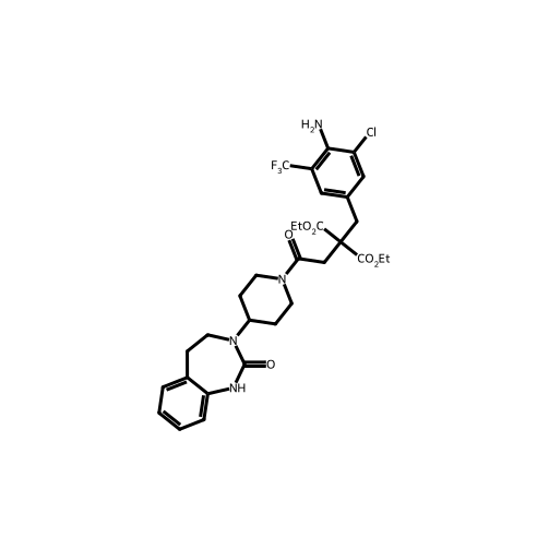 CCOC(=O)C(CC(=O)N1CCC(N2CCc3ccccc3NC2=O)CC1)(Cc1cc(Cl)c(N)c(C(F)(F)F)c1)C(=O)OCC